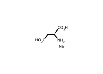 N[C@@H](CC(=O)O)C(=O)O.[Na]